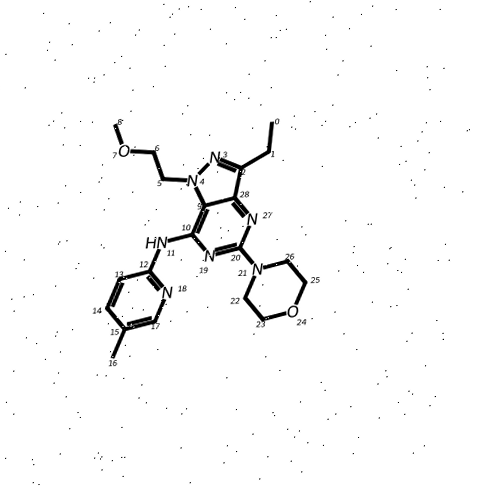 CCc1nn(CCOC)c2c(Nc3ccc(C)cn3)nc(N3CCOCC3)nc12